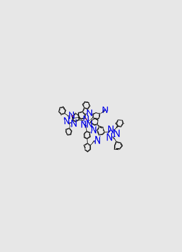 N#Cc1ccc(-c2nc(-c3ccccc3)nc(-c3ccc(-c4ccccc4C#N)cc3-n3c4ccccc4c4cc(-c5nc(-c6ccccc6)nc(-c6ccccc6)n5)ccc43)n2)c(-n2c3ccccc3c3cc(-c4nc(-c5ccccc5)nc(-c5ccccc5)n4)ccc32)c1